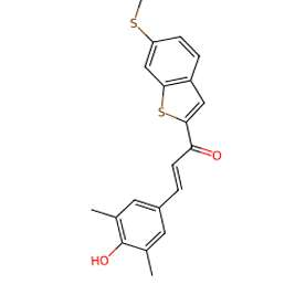 CSc1ccc2cc(C(=O)/C=C/c3cc(C)c(O)c(C)c3)sc2c1